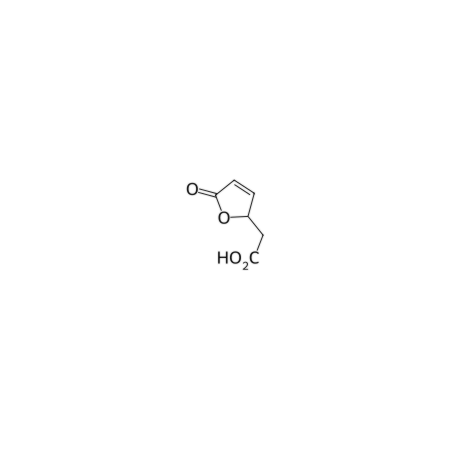 O=C(O)CC1C=CC(=O)O1